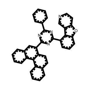 c1ccc(-c2nc(-c3cc4ccccc4c4c3ccc3ccccc34)nc(-c3cccc4oc5ccncc5c34)n2)cc1